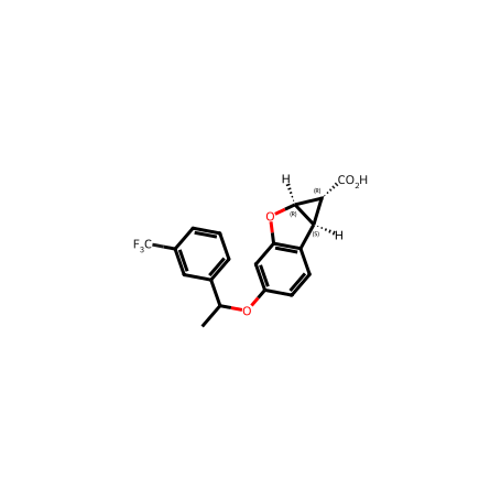 CC(Oc1ccc2c(c1)O[C@H]1[C@H](C(=O)O)[C@@H]21)c1cccc(C(F)(F)F)c1